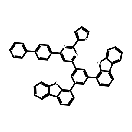 c1ccc(-c2ccc(-c3cc(-c4cc(-c5cccc6c5oc5ccccc56)cc(-c5cccc6c5oc5ccccc56)c4)nc(-c4cccs4)n3)cc2)cc1